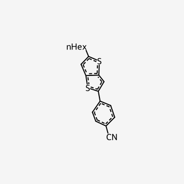 CCCCCCc1cc2sc(-c3ccc(C#N)cc3)cc2s1